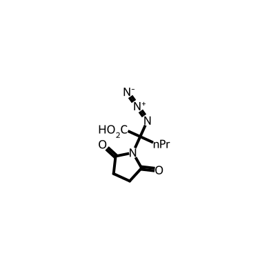 CCCC(N=[N+]=[N-])(C(=O)O)N1C(=O)CCC1=O